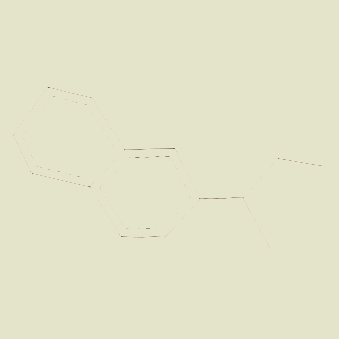 CCC(C)c1[c]c2ccccc2cc1